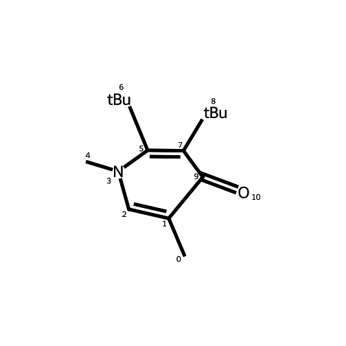 Cc1cn(C)c(C(C)(C)C)c(C(C)(C)C)c1=O